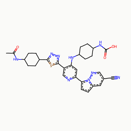 CC(=O)NC1CCC(c2nnc(-c3cnc(-c4ccc5cc(C#N)cnn45)cc3NC3CCC(NC(=O)O)CC3)s2)CC1